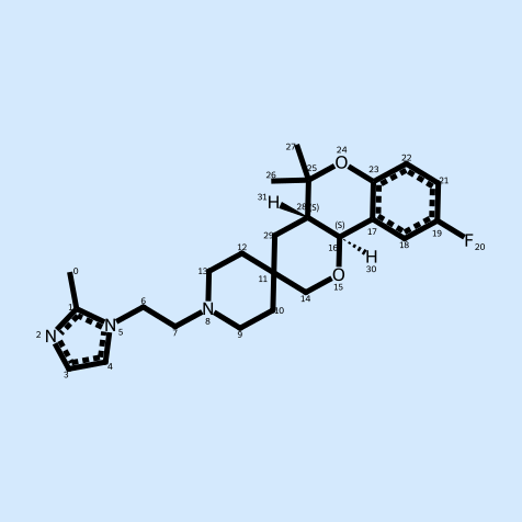 Cc1nccn1CCN1CCC2(CC1)CO[C@@H]1c3cc(F)ccc3OC(C)(C)[C@H]1C2